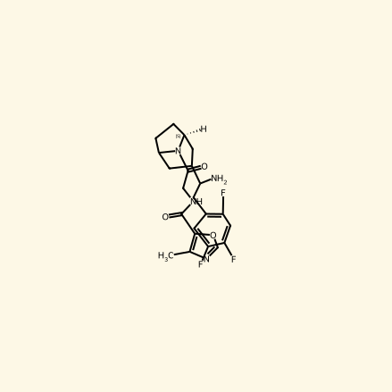 Cc1ncoc1C(=O)NCC(=O)N1C2CC[C@H]1CC(C(N)Cc1cc(F)c(F)cc1F)C2